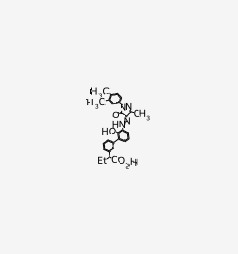 CCC(C(=O)O)c1cccc(-c2cccc(NN=C3C(=O)N(c4ccc(C)c(C)c4)N=C3C)c2O)c1